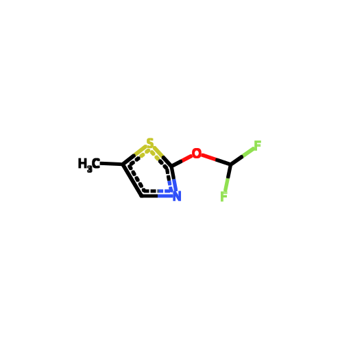 Cc1cnc(OC(F)F)s1